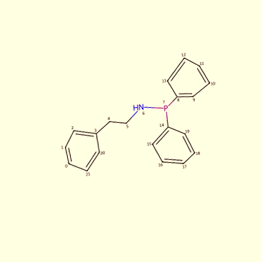 c1ccc(CCNP(c2ccccc2)c2ccccc2)cc1